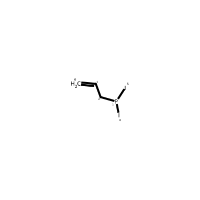 C=CCP(I)I